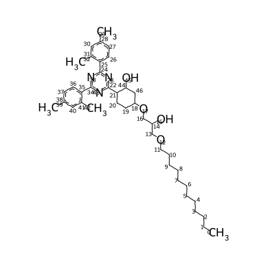 CCCCCCCCCCCCOCC(O)COC1CCC(c2nc(-c3ccc(C)cc3C)nc(-c3ccc(C)cc3C)n2)C(O)C1